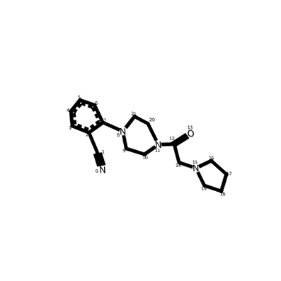 N#Cc1ccccc1N1CCN(C(=O)CN2CCCC2)CC1